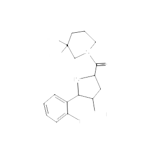 CC1(C)CCCN(C(=O)C2CC(C(=O)O)C(c3ccccc3F)N2)C1